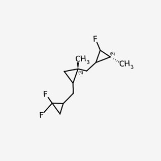 C[C@H]1C(F)C1C[C@@]1(C)CC1CC1CC1(F)F